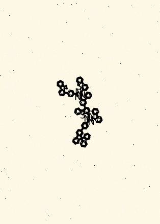 CC1(C)c2ccccc2-c2cccc(-c3ccc(-c4nc(-c5ccc(-c6ccc(-c7nc(-c8ccc(-c9ccc%10c(c9)C(c9ccccc9)(c9ccccc9)c9ccccc9-%10)cc8)nc(-c8ccccc8-c8ccccc8)n7)c7sc8ccccc8c67)cc5-c5ccccc5)nc(-c5cccc6c5sc5ccccc56)n4)cc3)c21